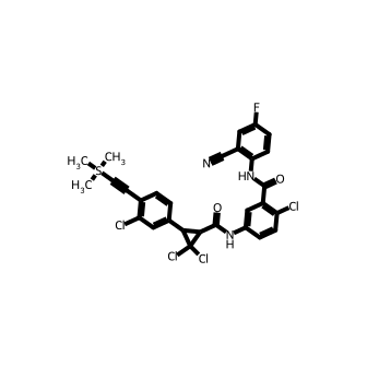 CS(C)(C)C#Cc1ccc(C2C(C(=O)Nc3ccc(Cl)c(C(=O)Nc4ccc(F)cc4C#N)c3)C2(Cl)Cl)cc1Cl